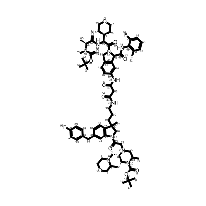 CC1COCCN1C[C@H]1CN(C(=O)OC(C)(C)C)C(C)CN1CC(=O)N1CC(C)(CCCNC(=O)CC(=O)Nc2ccc3c(c2)C(C(=O)Nc2c(F)cccc2F)N(C(=O)C(NC(=O)[C@H](C)N(C)C(=O)OC(C)(C)C)C2CCOCC2)C3)c2ccc(Cc3ccc(F)cc3)cc21